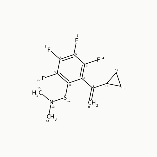 C=C(c1c(F)c(F)c(F)c(F)c1SN(C)C)C1CC1